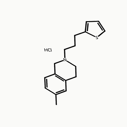 Cc1ccc2c(c1)CCN(CCCc1cccs1)C2.Cl